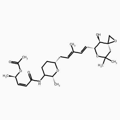 CC(=O)O[C@H](C)/C=C\C(=O)NC1CC[C@H](C/C=C(C)/C=C/[C@H]2OC(C)(C)C[C@@]3(CO3)[C@@H]2O)O[C@@H]1C